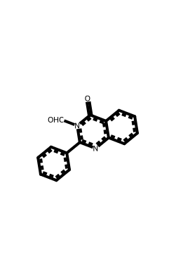 O=Cn1c(-c2ccccc2)nc2ccccc2c1=O